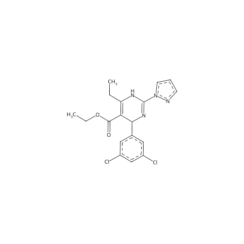 CCOC(=O)C1=C(CC)NC(n2cccn2)=NC1c1cc(Cl)cc(Cl)c1